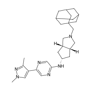 Cc1nn(C)cc1-c1cnc(N[C@@H]2C[C@@H]3CN(CC45CC6CC(CC(C6)C4)C5)C[C@@H]3C2)cn1